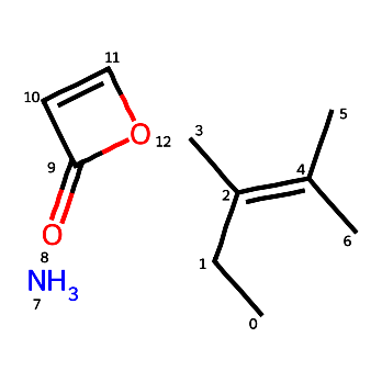 CCC(C)=C(C)C.N.O=C1C=CO1